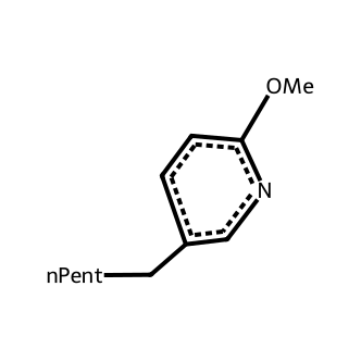 CCCCCCc1ccc(OC)nc1